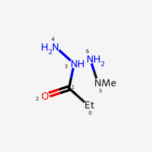 CCC(=O)NN.CNN